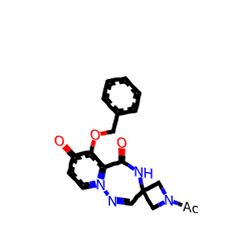 CC(=O)N1CC2(C=Nn3ccc(=O)c(OCc4ccccc4)c3C(=O)N2)C1